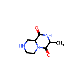 CC1NC(=O)C2CNCCN2C1=O